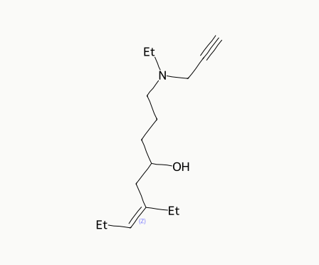 C#CCN(CC)CCCC(O)C/C(=C\CC)CC